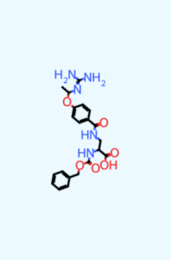 CC(N=C(N)N)Oc1ccc(C(=O)NCC(NC(=O)OCc2ccccc2)C(=O)O)cc1